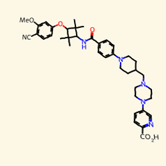 COc1cc(OC2C(C)(C)C(NC(=O)c3ccc(N4CCC(CN5CCN(c6ccc(C(=O)O)nc6)CC5)CC4)cc3)C2(C)C)ccc1C#N